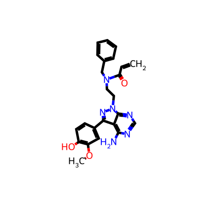 C=CC(=O)N(CCn1nc(-c2ccc(O)c(OC)c2)c2c(N)ncnc21)Cc1ccccc1